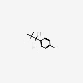 BC(B)(c1ccc(C(C)C)cc1)C(C)(C)C(F)(F)F